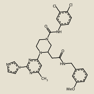 COc1cccc(CNC(=O)CC2CN(C(=O)Nc3ccc(Cl)c(Cl)c3)CCN2c2cc(C)nc(-n3ccnc3)n2)c1